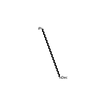 CCCCCCCCCCCCCCCCCCCCCCCCCCC[CH]CCCCCCCCCCCCCCCCC(C)C